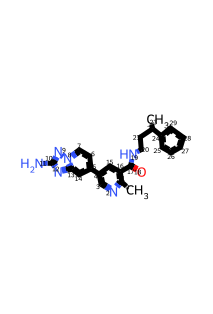 Cc1ncc(-c2ccn3nc(N)nc3c2)cc1C(=O)NCCC(C)c1ccccc1